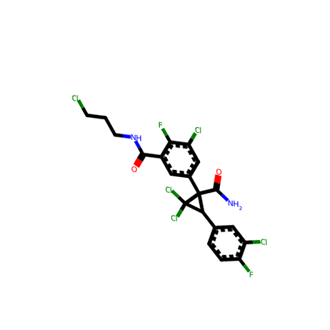 NC(=O)C1(c2cc(Cl)c(F)c(C(=O)NCCCCl)c2)C(c2ccc(F)c(Cl)c2)C1(Cl)Cl